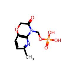 Cc1ccc2c(n1)N(COP(=O)(O)O)C(=O)CO2